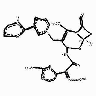 CO/N=C(\C(=O)NC1S[C@@H]2CC(=O)N2C(C(=O)[O-])=C1C[n+]1cccc(-c2ncc[nH]2)c1)c1csc(N)n1